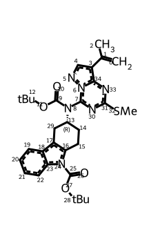 C=C(C)c1cnn2c(N(C(=O)OC(C)(C)C)[C@@H]3CCc4c(c5ccccc5n4C(=O)OC(C)(C)C)C3)nc(SC)nc12